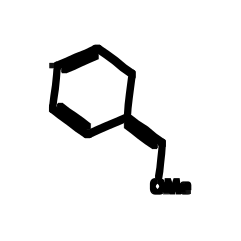 COC=C1C=C[C]=CC1